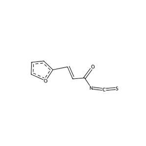 O=C(/C=C/c1ccco1)N=C=S